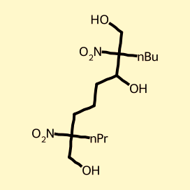 CCCCC(CO)(C(O)CCCC(CO)(CCC)[N+](=O)[O-])[N+](=O)[O-]